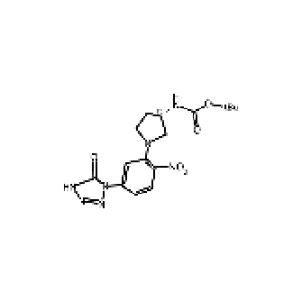 CC(C)(C)OC(=O)N[C@H]1CCN(c2cc(-n3nn[nH]c3=O)ccc2[N+](=O)[O-])C1